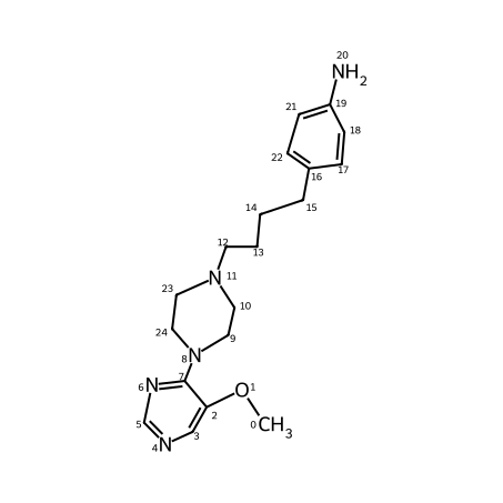 COc1cncnc1N1CCN(CCCCc2ccc(N)cc2)CC1